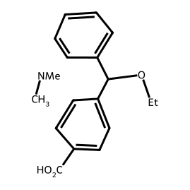 CCOC(c1ccccc1)c1ccc(C(=O)O)cc1.CNC